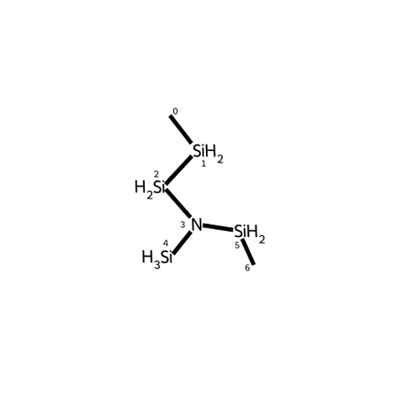 C[SiH2][SiH2]N([SiH3])[SiH2]C